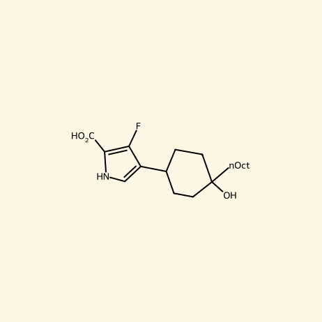 CCCCCCCCC1(O)CCC(c2c[nH]c(C(=O)O)c2F)CC1